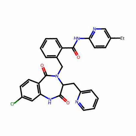 CCc1ccc(NC(=O)c2ccccc2CN2C(=O)c3ccc(Cl)cc3NC(=O)C2Cc2ccccn2)nc1